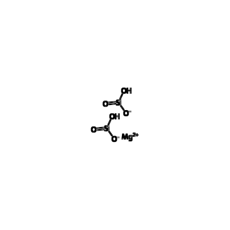 O=[Si]([O-])O.O=[Si]([O-])O.[Mg+2]